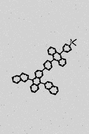 C[Si](C)(C)c1ccc(-c2c3ccccc3c(-c3ccc(-c4ccc5c(-c6ccc7ccccc7c6)c6ccccc6c(-c6ccc7ccccc7c6)c5c4)cc3)c3ccccc23)cc1